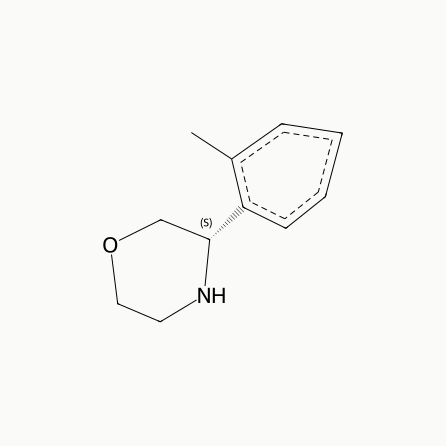 Cc1ccccc1[C@H]1COCCN1